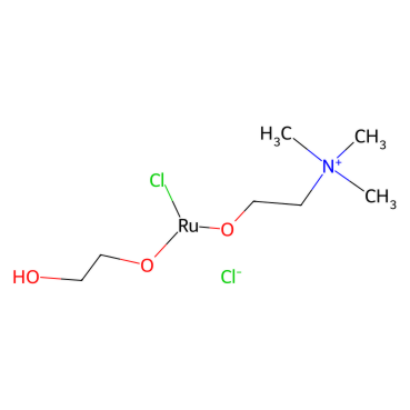 C[N+](C)(C)CC[O][Ru]([Cl])[O]CCO.[Cl-]